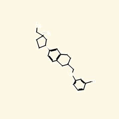 CC(C)c1cccc(OCC2CCc3cc([C@H]4CC[C@](N)(CO)C4)ccc3C2)c1